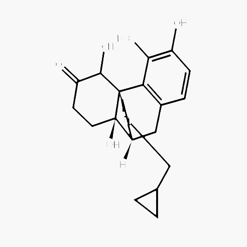 Cc1c(O)ccc2c1[C@]13CCCN(CC4CC4)[C@H](C2)[C@]1(O)CCC(=O)C3C